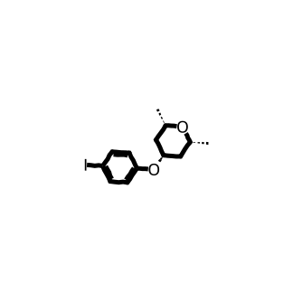 C[C@@H]1C[C@H](Oc2ccc(I)cc2)C[C@H](C)O1